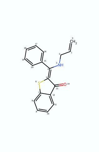 C=CCNC(=C1Sc2ccccc2C1=O)c1ccccc1